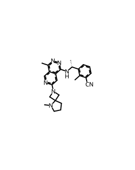 Cc1c(C#N)cccc1[C@@H](C)Nc1nnc(C)c2cnc(N3CC4(CCCN4C)C3)cc12